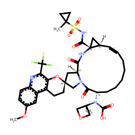 COc1ccc2nc(C(F)(F)F)c3c(c2c1)CC[C@]1(C[C@H]2C(=O)N[C@]4(C(=O)NS(=O)(=O)C5(C)CC5)C[C@H]4/C=C\CCCCC[C@H](N(C(=O)O)C4(C)COC4)C(=O)N2C1)O3